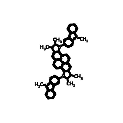 CC1c2cc3ccc4c5c(cc6ccc(c2N(c2ccc7c(c2)c2ccccc2n7C)C1C)c3c64)C(C)C(C)N5c1ccc2c(c1)c1ccccc1n2C